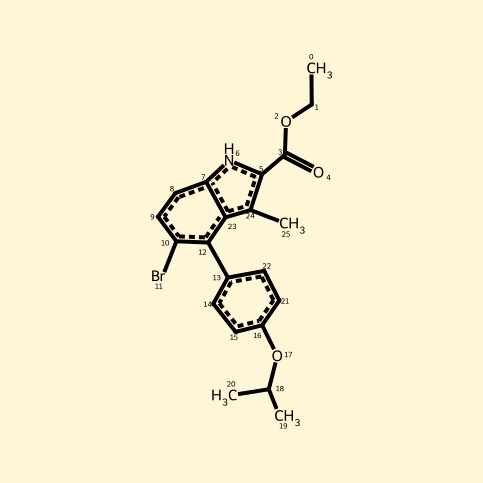 CCOC(=O)c1[nH]c2ccc(Br)c(-c3ccc(OC(C)C)cc3)c2c1C